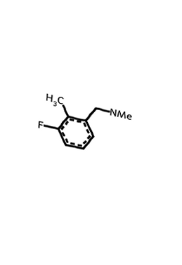 CNCc1cccc(F)c1C